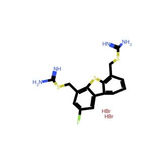 Br.Br.N=C(N)SCc1cccc2c1sc1c(CSC(=N)N)cc(F)cc12